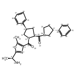 Cc1oc([C@H](C)N)nc1C(=O)N1C[C@@H](c2ccccc2)C[C@H]1C(=O)N1CC[C@H](c2ccccc2)C1